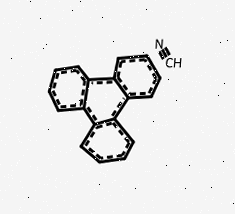 C#N.c1ccc2c(c1)c1ccccc1c1ccccc21